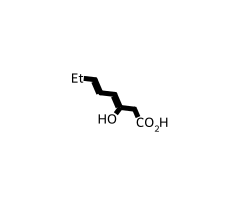 CCC=CC=C(O)CC(=O)O